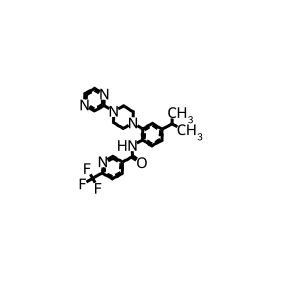 CC(C)c1ccc(NC(=O)c2ccc(C(F)(F)F)nc2)c(N2CCN(c3cnccn3)CC2)c1